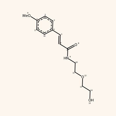 COc1ccc(/C=C/C(=O)NCCOCCO)cc1